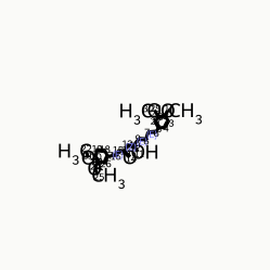 COc1ccc(/C=C/C=C/C(O)=C/C(=O)/C=C/c2ccc(OC)c(OC)c2)cc1OC